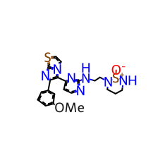 COc1cccc(-c2nc3sccn3c2-c2ccnc(NCCN3CCCN[S+]3[O-])n2)c1